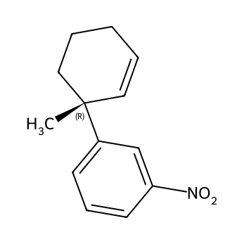 C[C@]1(c2cccc([N+](=O)[O-])c2)C=CCCC1